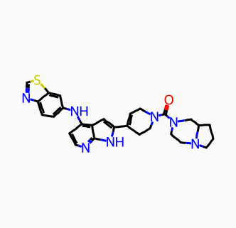 O=C(N1CC=C(c2cc3c(Nc4ccc5ncsc5c4)ccnc3[nH]2)CC1)N1CCN2CCCC2C1